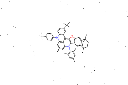 Cc1cc(C)c(N2c3cc(C)cc4c3B(c3cc(C(C)(C)C)ccc3N4c3ccc(C(C)(C)C)cc3)c3oc4cc5c(cc4c32)C2(C)CCC5(C)CC2)c(C)c1